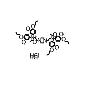 CCCOc1ccc([N+](CCN2CCN(CC[N+](C(C)=O)(c3ccc(OCCC)c(OC)c3)c3ccc(OCCC)c(OC)c3)CC2)(C(C)=O)c2ccc(OCCC)c(OC)c2)cc1OC.Cl.Cl